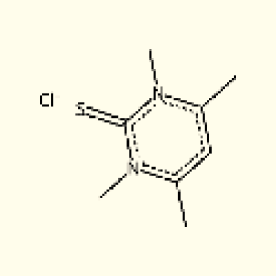 Cc1cc(C)[n+](C)c(=S)n1C.[Cl-]